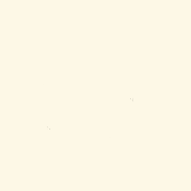 c1ccc(-c2ccc(-c3ccc(N(c4ccccc4)c4ccc(-c5cccc6c5oc5cc7nc(-c8ccccc8)oc7cc56)cc4)cc3)cc2)cc1